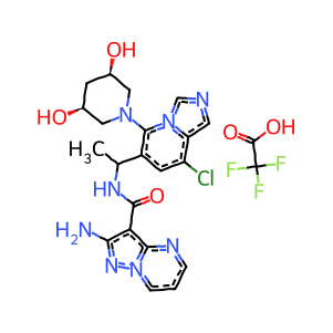 CC(NC(=O)c1c(N)nn2cccnc12)c1cc(Cl)c2cncn2c1N1C[C@H](O)C[C@H](O)C1.O=C(O)C(F)(F)F